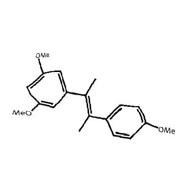 COc1ccc(/C(C)=C(\C)c2cc(OC)cc(OC)c2)cc1